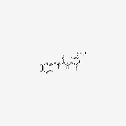 Cc1sc(C(=O)O)cc1NC(=O)NCc1ccccc1